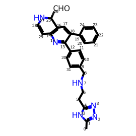 Cc1nnc(CCNCc2ccc(-c3nc4c(cc3-c3ccccc3)C(C=O)NC=C4)cc2)[nH]1